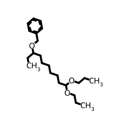 CCCOC(CCCCCCC(CC)OCc1ccccc1)OCCC